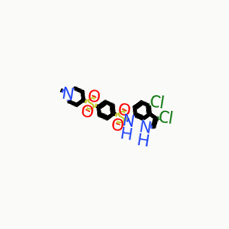 CN1CCC(S(=O)(=O)c2ccc(S(=O)(=O)Nc3ccc(Cl)c4c(Cl)c[nH]c34)cc2)CC1